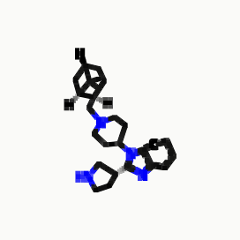 CC1(C)[C@H]2CC[C@@H](CN3CCC(n4c([C@@H]5CCNC5)nc5ccccc54)CC3)[C@H]1C2